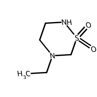 CCN1CCNS(=O)(=O)C1